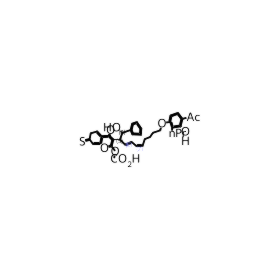 CCCc1c(OCCCC/C=C\C=C\[C@@H](c2c(OC(=O)O)oc3c(c2=O)=CCC(=S)C=3)[C@@H](O)c2ccccc2)ccc(C(C)=O)c1O